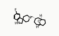 Fc1ccc2c(c1)C1(CCN(C[C@H]3CC[C@H]4CCC[C@H](C3)O4)CC1)CN2